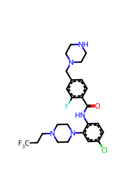 O=C(Nc1ccc(Cl)cc1N1CCN(CCC(F)(F)F)CC1)c1ccc(CN2CCNCC2)cc1F